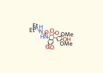 CCN(CC)CCNCC(=O)NC1c2cc3c(cc2C(c2cc(OC)c(O)c(OC)c2)C2C(=O)OCC12)OCO3